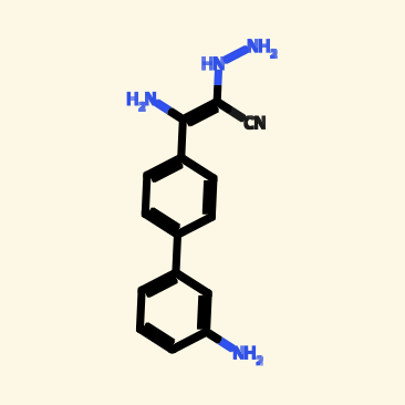 N#C/C(NN)=C(/N)c1ccc(-c2cccc(N)c2)cc1